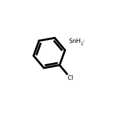 Clc1ccccc1.[SnH2]